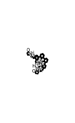 COc1nc(-c2cccc(-c3cccc(-c4ccc(CNC[C@@H]5CCC(=O)N5)c(CO)c4)c3Cl)c2Cl)ccc1CNC[C@@H]1CCC(=O)N1